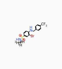 [2H]C([2H])([2H])NS(=O)(=O)c1ccc(NCc2ccc(C(F)(F)F)cc2)c(Br)c1